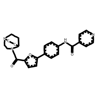 O=C(Nc1ccc(-c2ccc(C(=O)N3CCN4CCC3CC4)o2)cc1)c1ccncc1